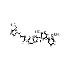 CCn1cnnc1CCNC(=O)c1ccc2[nH]c(-c3cc(-c4cccnc4OC)ccc3O)nc2c1